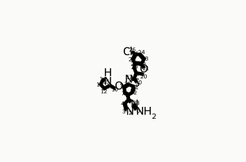 Nc1nccc(-c2cc(OCC3CCCN3)c3nc(C4COc5ccc(Cl)cc5C4)sc3c2)n1